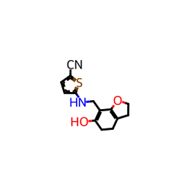 N#Cc1ccc(NCC2=C(O)CCC3=C2OCC3)s1